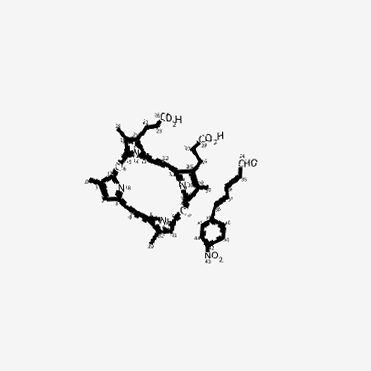 CC1=Cc2cc3[nH]c(cc4nc(cc5[nH]c(cc1n2)c(C)c5CCC(=O)O)C(CCC(=O)O)=C4C)cc3C.O=C/C=C/C=C/c1ccc([N+](=O)[O-])cc1